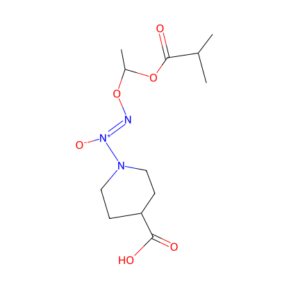 CC(ON=[N+]([O-])N1CCC(C(=O)O)CC1)OC(=O)C(C)C